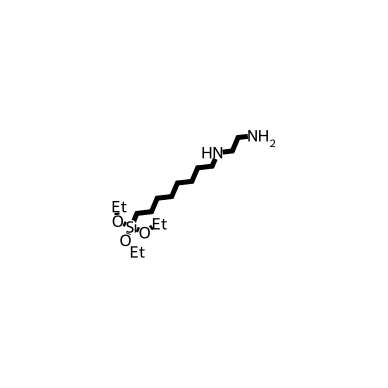 CCO[Si](CCCCCCCCNCCN)(OCC)OCC